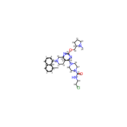 Cc1cccc2cccc(N3CCc4c(nc(OCC5CCCN5C)nc4N4CCN(C(=O)NCCCl)CC4)C3)c12